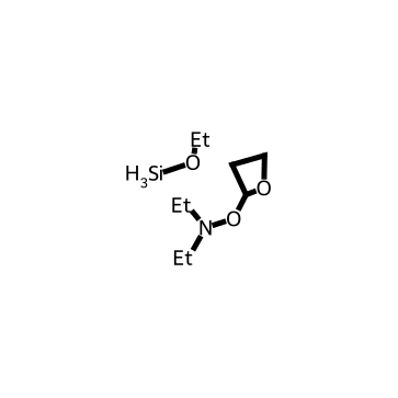 CCN(CC)OC1CCO1.CCO[SiH3]